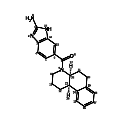 Nc1nc2ccc(C(=O)N3CCC[C@@H]4c5ccccc5CC[C@@H]43)cc2[nH]1